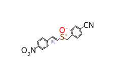 N#Cc1ccc(C[S+]([O-])/C=C/c2ccc([N+](=O)[O-])cc2)cc1